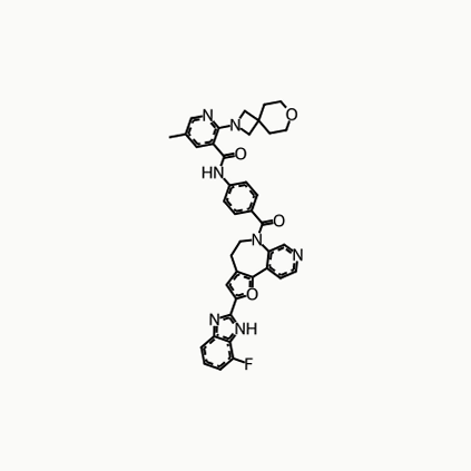 Cc1cnc(N2CC3(CCOCC3)C2)c(C(=O)Nc2ccc(C(=O)N3CCc4cc(-c5nc6cccc(F)c6[nH]5)oc4-c4ccncc43)cc2)c1